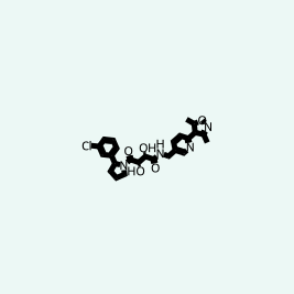 CC1=NOC(C)C1c1ccc(CNC(=O)[C@H](O)[C@@H](O)C(=O)N2CCCC2c2cccc(Cl)c2)cn1